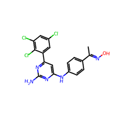 C/C(=N\O)c1ccc(Nc2cc(-c3cc(Cl)cc(Cl)c3Cl)nc(N)n2)cc1